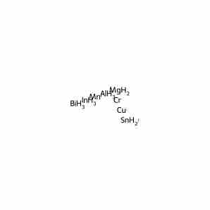 [AlH3].[BiH3].[Cr].[Cu].[InH3].[MgH2].[Mn].[SnH2]